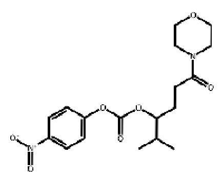 CC(C)C(CCC(=O)N1CCOCC1)OC(=O)Oc1ccc([N+](=O)[O-])cc1